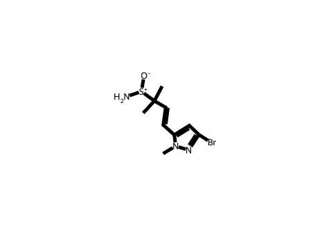 Cn1nc(Br)cc1C=CC(C)(C)[S+](N)[O-]